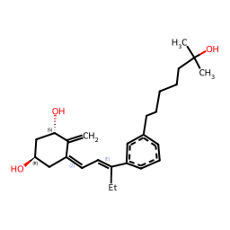 C=C1/C(=C\C=C(/CC)c2cccc(CCCCCC(C)(C)O)c2)C[C@@H](O)C[C@@H]1O